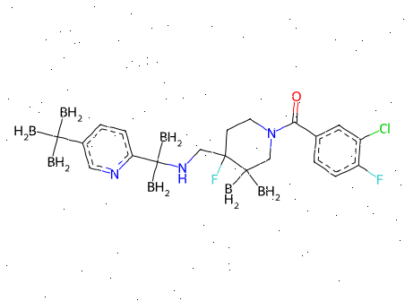 BC(B)(B)c1ccc(C(B)(B)NCC2(F)CCN(C(=O)c3ccc(F)c(Cl)c3)CC2(B)B)nc1